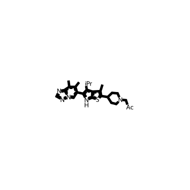 CC(=O)CN1CCC(c2sc3[nH]c(-c4cn5ncnc5c(C)c4C)c(C(C)C)c3c2C)CC1